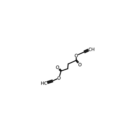 C#COC(=O)CCC(=O)OC#C